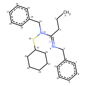 CCC/C(=N\Cc1ccccc1)N(Cc1ccccc1)SC1CCCCC1